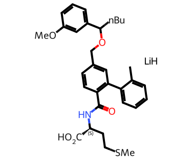 CCCCC(OCc1ccc(C(=O)N[C@@H](CCSC)C(=O)O)c(-c2ccccc2C)c1)c1cccc(OC)c1.[LiH]